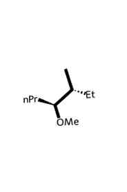 CCC[C@H](OC)[C@H](C)CC